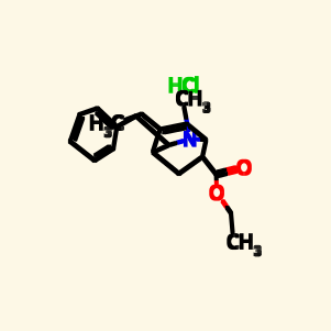 CCOC(=O)C1CC2C(CC)=CC1N(C)C2Cc1ccccc1.Cl